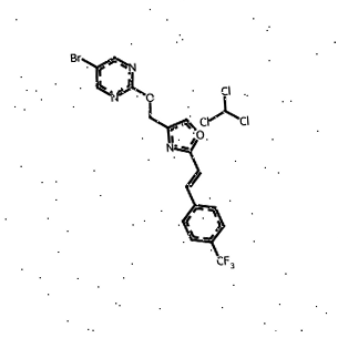 ClC(Cl)Cl.FC(F)(F)c1ccc(C=Cc2nc(COc3ncc(Br)cn3)co2)cc1